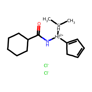 C[SiH](C)[Hf+2]([NH]C(=O)C1CCCCC1)[C]1=CC=CC1.[Cl-].[Cl-]